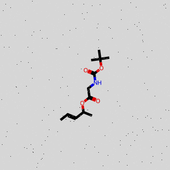 CC=CC(C)OC(=O)CNC(=O)OC(C)(C)C